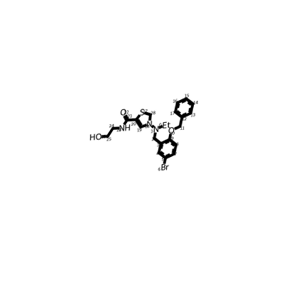 CCN(Cc1cc(Br)ccc1OCc1ccccc1)N1C=C(C(=O)NCCO)SC1